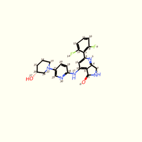 O=C1NCc2nc(-c3c(F)cccc3F)cc(Nc3ccc(N4CCC[C@@H](O)C4)cn3)c21